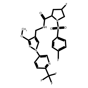 COc1nn(-c2ccc(C(F)(F)F)nc2)cc1CNC(=O)C1CC(F)CN1S(=O)(=O)c1ccc(F)cc1